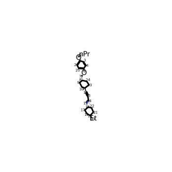 CCCOc1ccc(OC[C@H]2CC[C@H](C#C/C=C/[C@H]3CC[C@H](CC)CC3)CC2)cc1